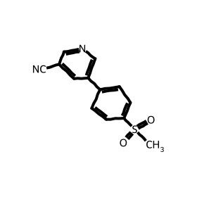 CS(=O)(=O)c1ccc(-c2cncc(C#N)c2)cc1